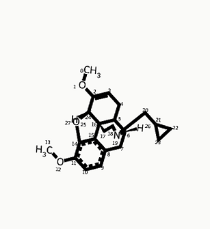 COC1=CCC2[C@@H]3Cc4ccc(OC)c5c4[C@]2(CCN3CC2CC2)[C@@H]1O5